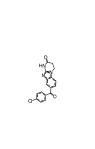 O=C1CCn2c(nc3cc(C(=O)c4ccc(Cl)cc4)ccc32)N1